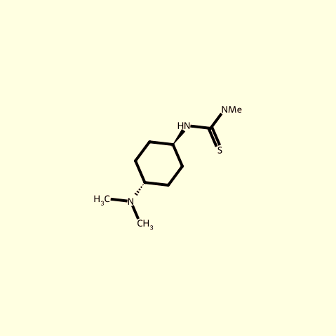 CNC(=S)N[C@H]1CC[C@H](N(C)C)CC1